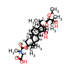 CCO[C@@H]([C@H]1C[C@@H](C)[C@H]2[C@H](O1)[C@H](O)[C@@]1(C)[C@@H]3CC[C@H]4C(C)(C)[C@@H](OC(=O)N(C)CC(=O)O)CC[C@@]45C[C@@]35CC[C@]21C)C(C)(C)O